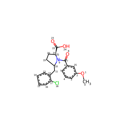 COc1cccc(C(=O)N2C(Cc3ccccc3Cl)CC[C@H]2C(=O)O)c1